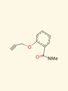 C#CCOc1ccccc1C(=O)NC